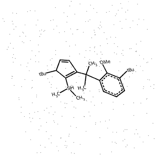 COc1c(C(C)(C)C)cccc1C(C)(C)C1=C([SiH](C)C)C(C(C)(C)C)C=C1